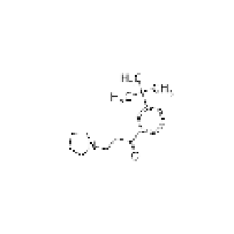 CC(C)(C)c1cccc(C(=O)CCN2CCCC2)c1